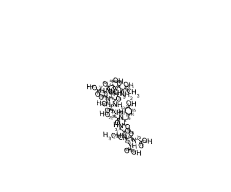 CC(C)C[C@H](NC(=O)[C@H](Cc1ccc(O)cc1)NC(=O)[C@H](CO)NC(=O)[C@H](CO)NC(=O)[C@@H](NC(=O)[C@H](CC(=O)O)NC(=O)[C@H](CO)NC(=O)[C@@H](N)[C@@H](C)O)C(C)C)C(=O)N[C@@H](CCC(=O)O)C(=O)NCC(=O)O